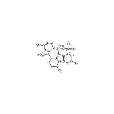 CC(c1ccc(C(F)(F)F)cc1)n1c2c(c3cc(F)cc(S(C)(=O)=O)c31)C(O)CCC2CC(=O)O